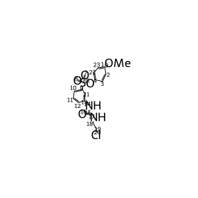 COc1ccc(OS(=O)(=O)c2cccc(NC(=O)NCCCl)c2)cc1